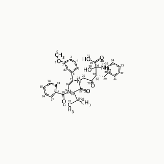 COc1cccc(C2=CN(C(=O)c3ccccc3)C(C(C)C)C(=O)N2CC(=O)[C@@H](Cc2ccccc2)C(N)(O)C(=O)O)c1